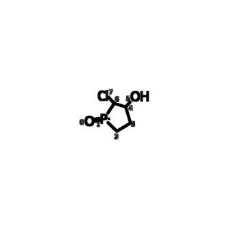 O=[P]1CCC(O)C1Cl